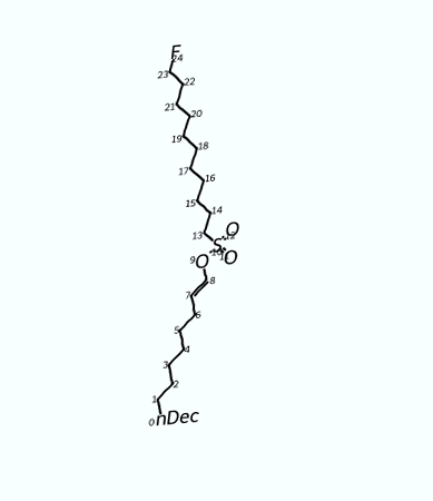 CCCCCCCCCCCCCCCCC=COS(=O)(=O)CCCCCCCCCCCF